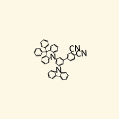 N#Cc1ccc(-c2cc(N3c4ccccc4C(c4ccccc4)(c4ccccc4)c4ccccc43)cc(-n3c4ccccc4c4ccccc43)c2)cc1C#N